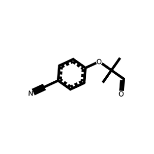 CC(C)(C=O)Oc1ccc(C#N)cc1